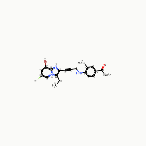 CNC(=O)c1ccc(NCC#Cc2nc3c(Br)cc(F)cn3c2CC(F)(F)F)c(OC)c1